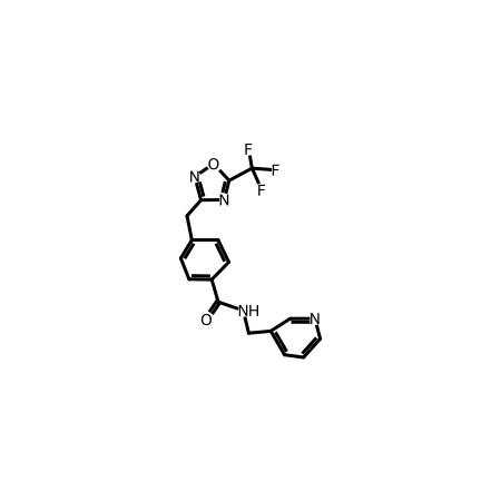 O=C(NCc1cccnc1)c1ccc(Cc2noc(C(F)(F)F)n2)cc1